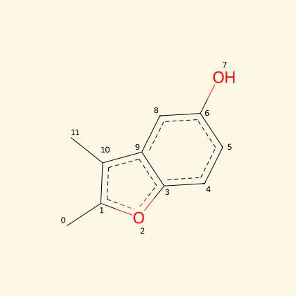 Cc1oc2ccc(O)cc2c1C